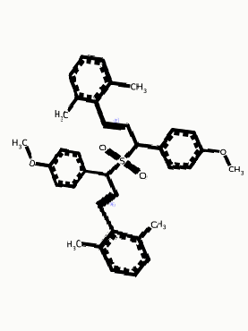 COc1ccc(C(/C=C/c2c(C)cccc2C)S(=O)(=O)C(/C=C/c2c(C)cccc2C)c2ccc(OC)cc2)cc1